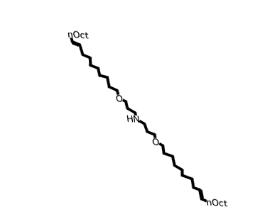 CCCCCCCCC=CCCCCCCCCOCCCNCCCOCCCCCCCCC=CCCCCCCCC